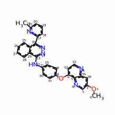 COc1cnc2c(Oc3ccc(Nc4nnc(-c5cccc(C)n5)c5ccccc45)cc3)ccnc2c1